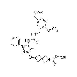 COCc1ccc(OC(F)(F)F)c(CNC(=O)Nc2c(C)c(OC3CC4(C3)CN(C(=O)OC(C)(C)C)C4)nn2-c2ccccc2)c1